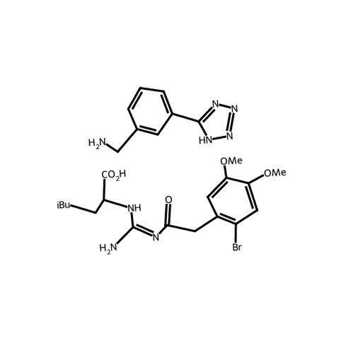 CCC(C)CC(NC(N)=NC(=O)Cc1cc(OC)c(OC)cc1Br)C(=O)O.NCc1cccc(-c2nnn[nH]2)c1